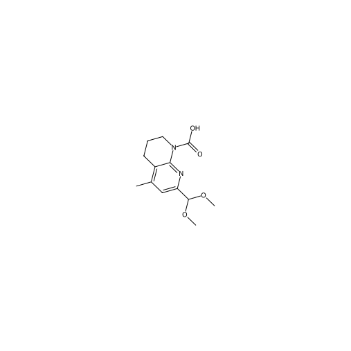 COC(OC)c1cc(C)c2c(n1)N(C(=O)O)CCC2